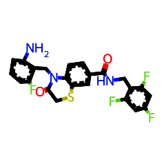 Nc1cccc(F)c1CN1C(=O)CSc2cc(C(=O)NCc3c(F)cc(F)cc3F)ccc21